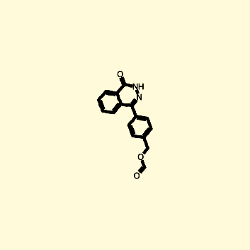 O=COCc1ccc(-c2n[nH]c(=O)c3ccccc23)cc1